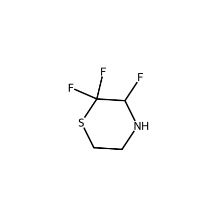 FC1NCCSC1(F)F